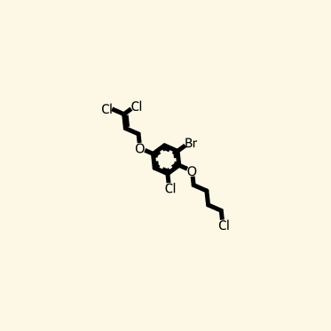 ClCCCCOc1c(Cl)cc(OCC=C(Cl)Cl)cc1Br